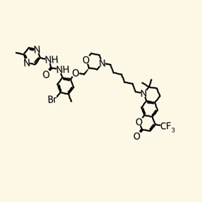 Cc1cnc(NC(=O)Nc2cc(Br)c(C)cc2OC[C@@H]2CN(CCCCCCN3c4cc5oc(=O)cc(C(F)(F)F)c5cc4CCC3(C)C)CCO2)cn1